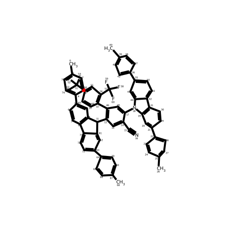 Cc1ccc(-c2ccc3c(c2)C(c2cc(C#N)c(-n4c5cc(-c6ccc(C)cc6)ccc5c5ccc(-c6ccc(C)cc6)cc54)cc2-c2ccc(C(F)(F)F)cc2C(F)(F)F)c2cc(-c4ccc(C)cc4)ccc2-3)cc1